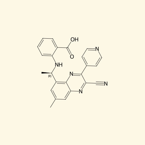 Cc1cc([C@@H](C)Nc2ccccc2C(=O)O)c2nc(-c3ccncc3)c(C#N)nc2c1